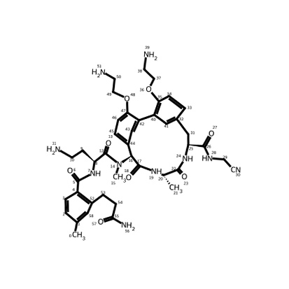 Cc1ccc(C(=O)N[C@@H](CCN)C(=O)N(C)[C@@H]2C(=O)N[C@@H](C)C(=O)N[C@H](C(=O)NCC#N)Cc3ccc(OCCN)c(c3)-c3cc2ccc3OCCN)c(CCC(N)=O)c1